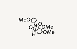 COc1cccc(-n2c(=O)[nH]c3ccc(OC)c(OC)c3c2=O)c1